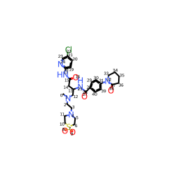 CN(CCN1CCS(=O)(=O)CC1)CC(CC(=O)Nc1ccc(Cl)cn1)NC(=O)c1ccc(N2CCCCC2=O)cc1